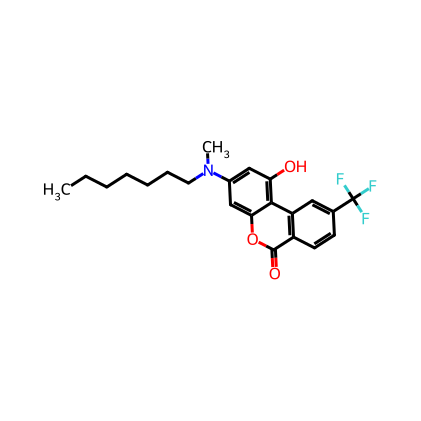 CCCCCCCN(C)c1cc(O)c2c(c1)oc(=O)c1ccc(C(F)(F)F)cc12